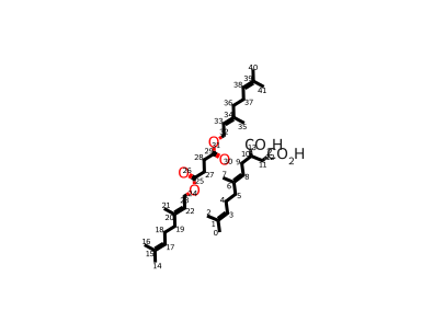 CC(C)=CCC/C(C)=C/CC(CC(=O)O)C(=O)O.CC(C)=CCC/C(C)=C/COC(=O)CCC(=O)OC/C=C(\C)CCC=C(C)C